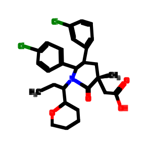 CCC(C1CCCCO1)N1C(=O)[C@@](C)(CC(=O)O)CC(c2cccc(Cl)c2)C1c1ccc(Cl)cc1